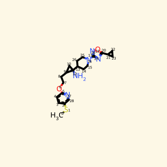 CSc1ccc(OCCC2CC2(N)C2CCN(c3noc(C4CC4)n3)CC2)nc1